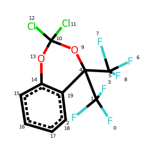 FC(F)(F)C1(C(F)(F)F)OC(Cl)(Cl)Oc2ccccc21